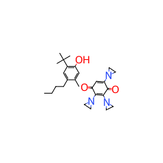 CCCCc1cc(C(C)(C)C)c(O)cc1C.O=C1C=C(N2CC2)C(=O)C(N2CC2)=C1N1CC1